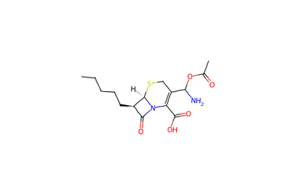 CCCCC[C@@H]1C(=O)N2C(C(=O)O)=C(C(N)OC(C)=O)CS[C@H]12